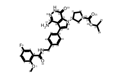 COc1ccc(F)cc1C(=O)NCc1ccc(-c2cn([C@@H]3CCN(C(=O)OC(C)C)C3)c3c(=O)[nH]nc(N)c23)cc1